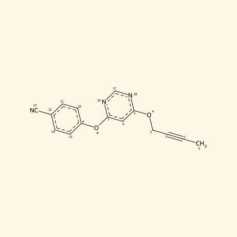 CC#CCOc1cc(Oc2ccc(C#N)cc2)ncn1